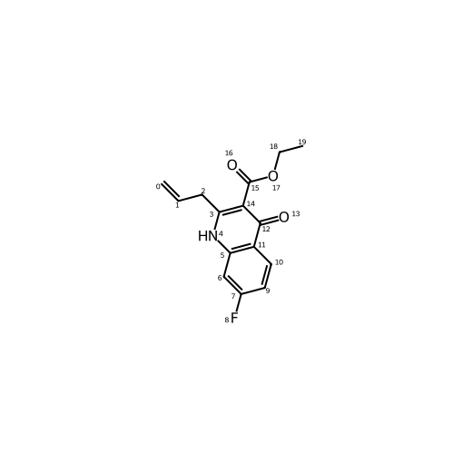 C=CCc1[nH]c2cc(F)ccc2c(=O)c1C(=O)OCC